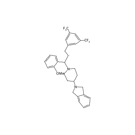 COc1ccccc1C([CH]Cc1cc(C(F)(F)F)cc(C(F)(F)F)c1)N1CCC(N2Cc3ccccc3C2)CC1